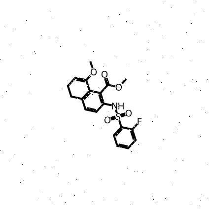 COC(=O)c1c(NS(=O)(=O)c2ccccc2F)ccc2c1C(OC)=CCC2